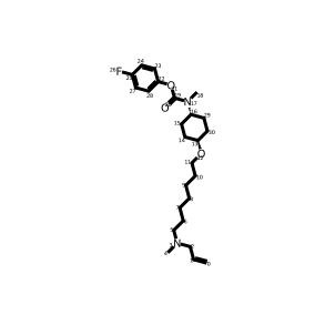 C=CCN(C)CCCCCCCO[C@H]1CC[C@H](N(C)C(=O)Oc2ccc(F)cc2)CC1